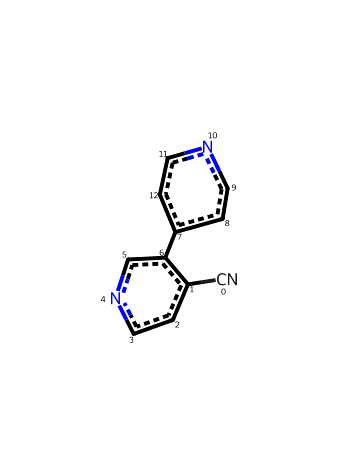 N#Cc1ccncc1-c1ccncc1